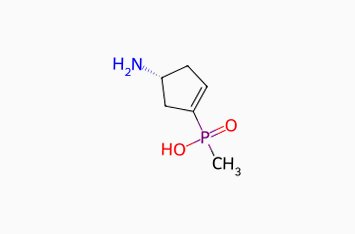 CP(=O)(O)C1=CC[C@@H](N)C1